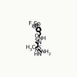 Cc1nc(C(=N)N)sc1-c1csc(NC(=O)Cc2ccc(S(=O)(=O)C(F)(F)F)cc2)n1